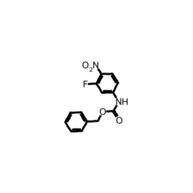 O=C(Nc1ccc([N+](=O)[O-])c(F)c1)OCc1ccccc1